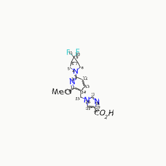 COc1nc(N2CC3C(C2)C3(F)F)ccc1Cn1cnc(C(=O)O)c1